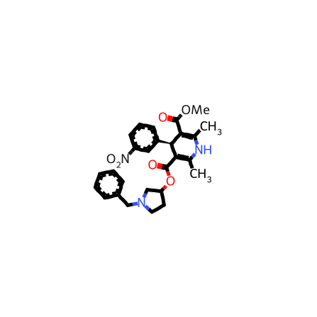 COC(=O)C1=C(C)NC(C)=C(C(=O)OC2CCN(Cc3ccccc3)C2)[C@H]1c1cccc([N+](=O)[O-])c1